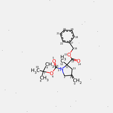 C=C1CN(C(=O)OC(C)(C)C)C(C)(C(=O)OCc2ccccc2)C1